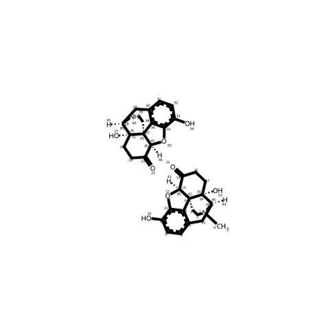 CN1CC[C@]23c4c5ccc(O)c4O[C@H]2C(=O)CC[C@@]3(O)[C@H]1C5.O=C1CC[C@@]2(O)[C@H]3Cc4ccc(O)c5c4[C@@]2(CCN3)[C@H]1O5